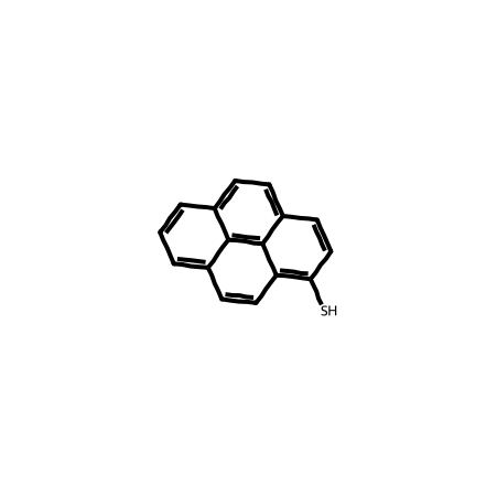 Sc1ccc2ccc3cccc4ccc1c2c34